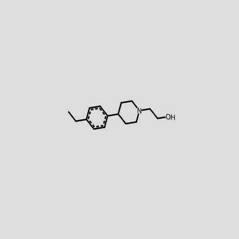 CCc1ccc(C2CCN(CCO)CC2)cc1